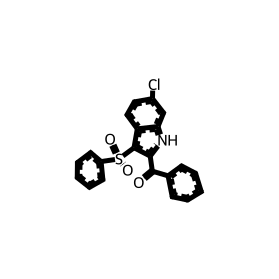 O=C(c1ccccc1)c1[nH]c2cc(Cl)ccc2c1S(=O)(=O)c1ccccc1